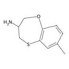 Cc1ccc2c(c1)SCC(N)CO2